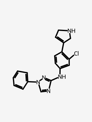 Clc1cc(Nc2ncn(-c3ccccc3)n2)ccc1C1=CCNC1